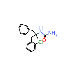 CC(Cc1ccccc1)(Cc1ccccc1Cl)NC(N)=O